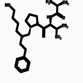 CC(C)[C@H](NC(=O)[C@H](C)N)C(=O)N1CCC[C@H]1CN(CCCCO)CCc1ccccc1